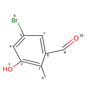 Cc1c(O)cc(Br)cc1C=O